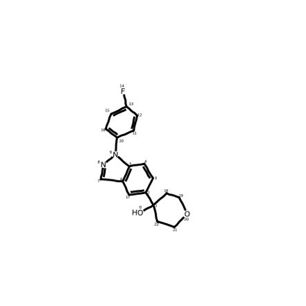 OC1(c2ccc3c(cnn3-c3ccc(F)cc3)c2)CCOCC1